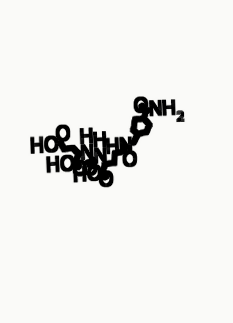 NC(=O)C1CCC(CNC(=O)CCC(NC(=O)NC(CCC(=O)O)C(=O)O)C(=O)O)CC1